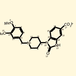 COc1ccc(CN2CCC(n3c(=O)[nH]c4cc(C(=O)O)ccc43)CC2)cc1OCC(C)C